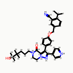 CC(C)c1ccc(COc2ccc(-c3c(-c4ccncc4)nn4c3C(=O)N(CCCC(C)(C)[Si](C)(C)O)CC4)cc2)cc1C#N